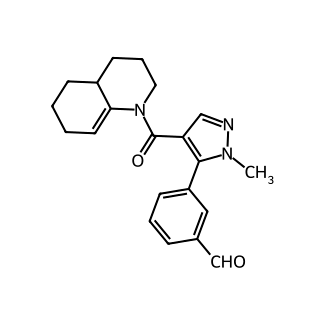 Cn1ncc(C(=O)N2CCCC3CCCC=C32)c1-c1cccc(C=O)c1